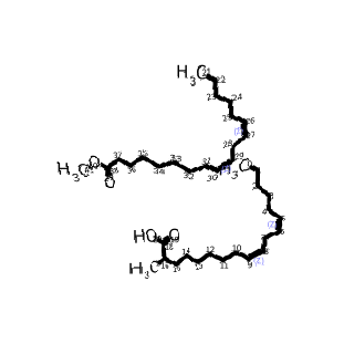 CCCCC/C=C\C/C=C\CCCCCCC(C)C(=O)O.CCCCC/C=C\C/C=C\CCCCCCCC(=O)OC